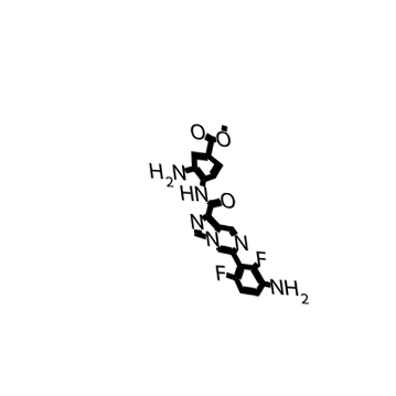 COC(=O)c1ccc(NC(=O)c2ncn3cc(-c4c(F)ccc(N)c4F)ncc23)c(N)c1